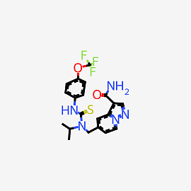 CC(C)N(Cc1ccn2ncc(C(N)=O)c2c1)C(=S)Nc1ccc(OC(F)(F)F)cc1